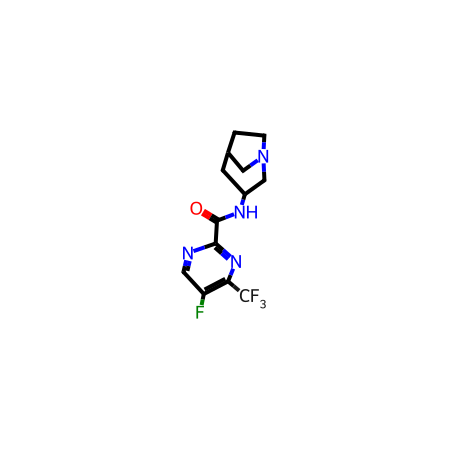 O=C(NC1CC2CCN(C2)C1)c1ncc(F)c(C(F)(F)F)n1